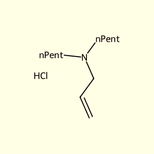 C=CCN(CCCCC)CCCCC.Cl